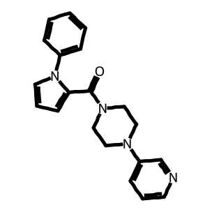 O=C(c1cccn1-c1ccccc1)N1CCN(c2cccnc2)CC1